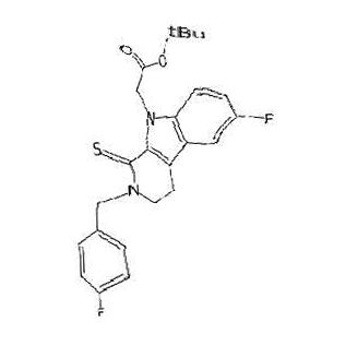 CC(C)(C)OC(=O)Cn1c2c(c3cc(F)ccc31)CCN(Cc1ccc(F)cc1)C2=S